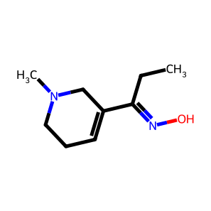 CC/C(=N\O)C1=CCCN(C)C1